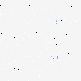 CC1(CN)CCCCCC(CN)C1